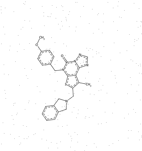 COc1ccc(Cn2c(=O)n3ncnc3c3c(C)c(CN4Cc5ccccc5C4)sc32)cc1